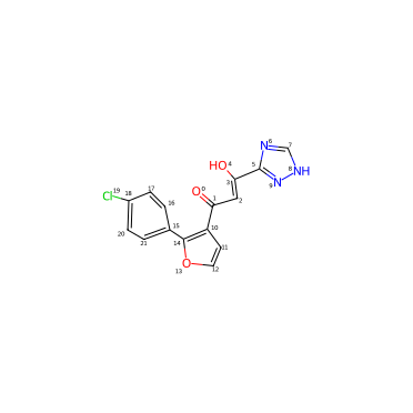 O=C(C=C(O)c1nc[nH]n1)c1ccoc1-c1ccc(Cl)cc1